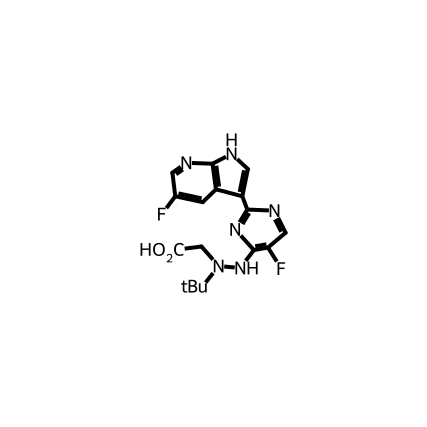 CC(C)(C)N(CC(=O)O)Nc1nc(-c2c[nH]c3ncc(F)cc23)ncc1F